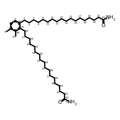 Cc1ccc(CCCCCCCCCCCCCCCCCC(N)=O)c(CCCCCCCCCCCCCCCCCC(N)=O)c1C